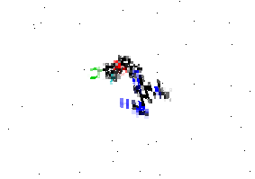 CC(=O)N(C)CCc1cc(-c2nnn[nH]2)cnc1CN1CCC(c2cccc3c2OC(C)(c2ccc(Cl)cc2F)O3)CC1